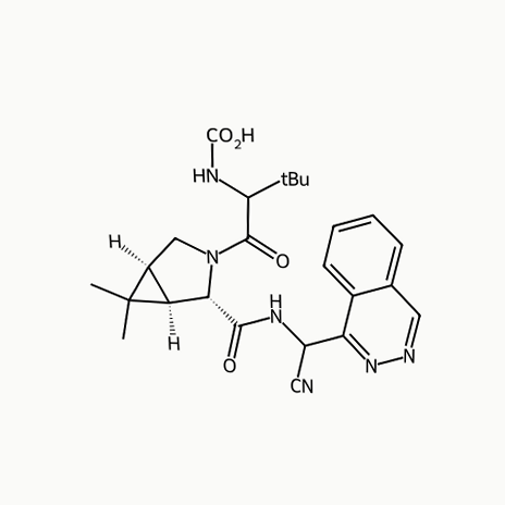 CC(C)(C)C(NC(=O)O)C(=O)N1C[C@H]2[C@@H]([C@H]1C(=O)NC(C#N)c1nncc3ccccc13)C2(C)C